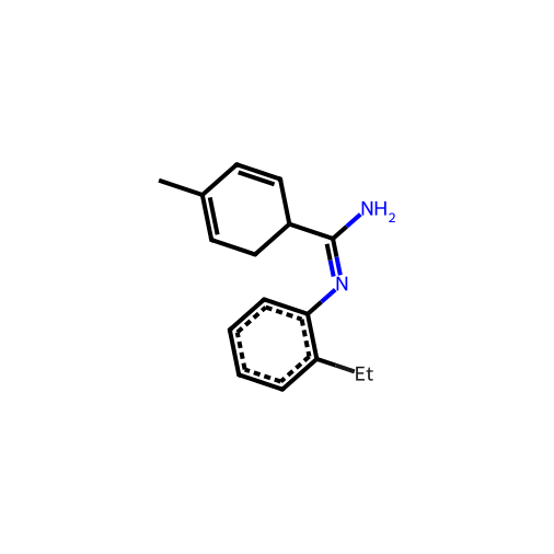 CCc1ccccc1/N=C(/N)C1C=CC(C)=CC1